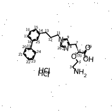 Cl.Cl.NCCO[C@@H](Cc1cn(CCCc2cccc(-c3ccccc3)c2)cn1)C(=O)O